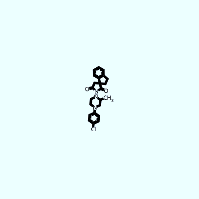 CC1CN(c2ccc(Cl)cc2)CCN1N1C(=O)CC2(CCc3ccccc32)C1=O